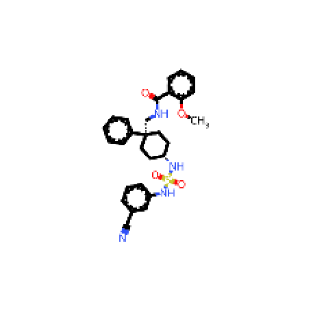 COc1ccccc1C(=O)NC[C@]1(c2ccccc2)CC[C@H](NS(=O)(=O)Nc2cccc(C#N)c2)CC1